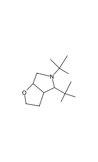 CC(C)(C)C1C2CCOC2CN1C(C)(C)C